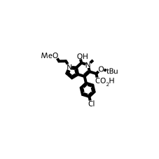 COCCn1ccc2c1C(O)N(C)C(C(OC(C)(C)C)C(=O)O)=C2c1ccc(Cl)cc1